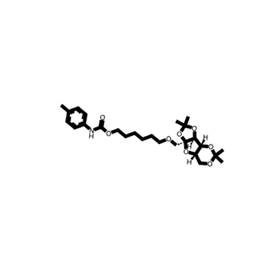 Cc1ccc(NC(=O)OCCCCCCOC[C@@]23O[C@H]4COC(C)(C)O[C@H]4[C@@H]2OC(C)(C)O3)cc1